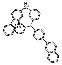 c1ccc(N(c2ccc(-c3ccc4ccccc4c3)cc2)c2cccc3c2-c2c(ccc4c2sc2ccccc24)[SiH2]3)cc1